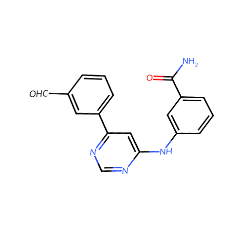 NC(=O)c1cccc(Nc2cc(-c3cccc(C=O)c3)ncn2)c1